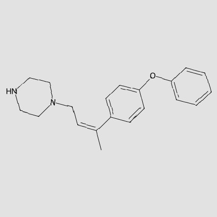 CC(=CCN1CCNCC1)c1ccc(Oc2ccccc2)cc1